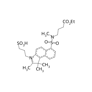 CCOC(=O)CCCN(C)S(=O)(=O)c1cccc2c3c(ccc12)[N+](CCCS(=O)(=O)O)=C(C)C3(C)C